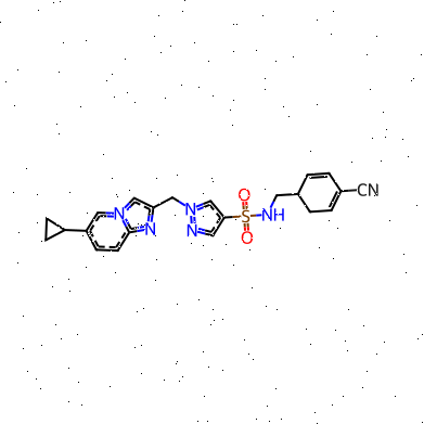 N#CC1=CCC(CNS(=O)(=O)c2cnn(Cc3cn4cc(C5CC5)ccc4n3)c2)C=C1